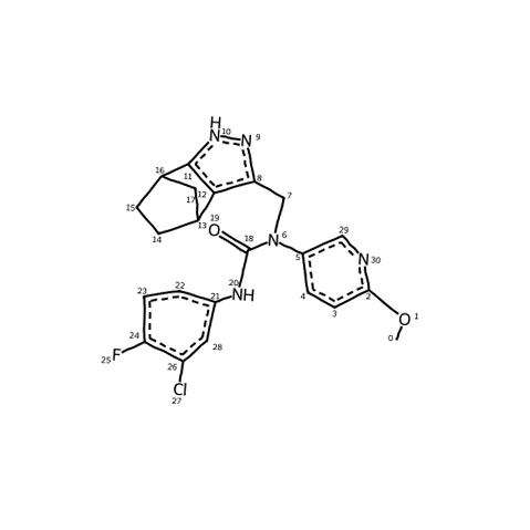 COc1ccc(N(Cc2n[nH]c3c2C2CCC3C2)C(=O)Nc2ccc(F)c(Cl)c2)cn1